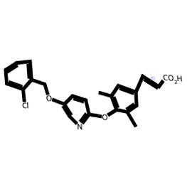 Cc1cc(/C=C/C(=O)O)cc(C)c1Oc1ccc(OCc2ccccc2Cl)cn1